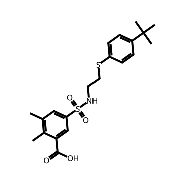 Cc1cc(S(=O)(=O)NCCSc2ccc(C(C)(C)C)cc2)cc(C(=O)O)c1C